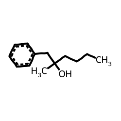 CCCCC(C)(O)Cc1ccccc1